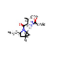 COC(=O)N[C@H](C(=O)N1[C@@H]2C[C@@H]2C[C@H]1C(=O)O)[C@H](C)OC